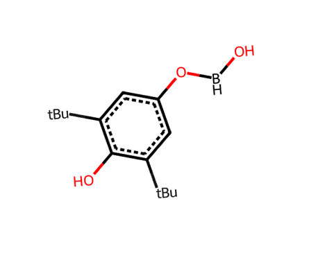 CC(C)(C)c1cc(OBO)cc(C(C)(C)C)c1O